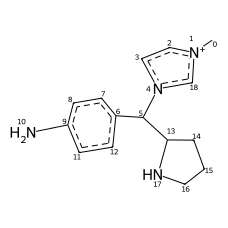 C[n+]1ccn(C(c2ccc(N)cc2)C2CCCN2)c1